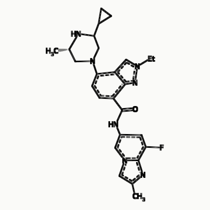 CCn1cc2c(N3CC(C4CC4)N[C@@H](C)C3)ccc(C(=O)Nc3cc(F)c4nc(C)cn4c3)c2n1